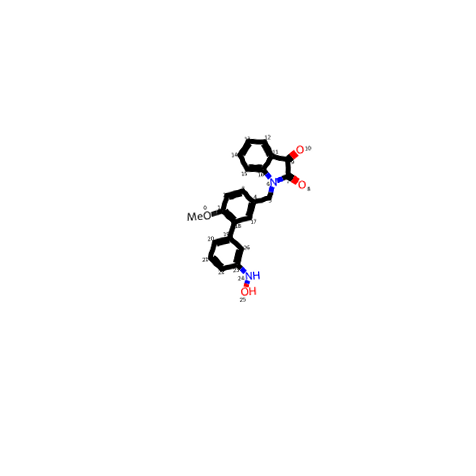 COc1ccc(CN2C(=O)C(=O)c3ccccc32)cc1-c1cccc(NO)c1